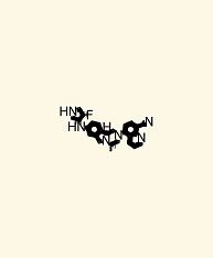 C[C@@H]1CN(c2ccc(C#N)c3ncccc23)C[C@@H]2c3ccc(N[C@@H]4CNC[C@@H]4F)cc3CN12